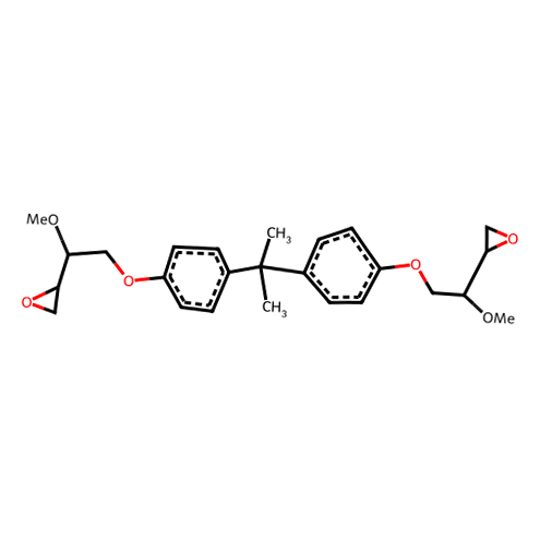 COC(COc1ccc(C(C)(C)c2ccc(OCC(OC)C3CO3)cc2)cc1)C1CO1